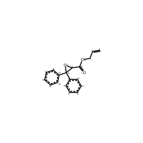 C=CCOC(=O)C1OC1(c1ccccc1)c1ccccc1